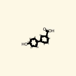 O=C(O)c1cccc(-c2ccc(O)cc2)c1